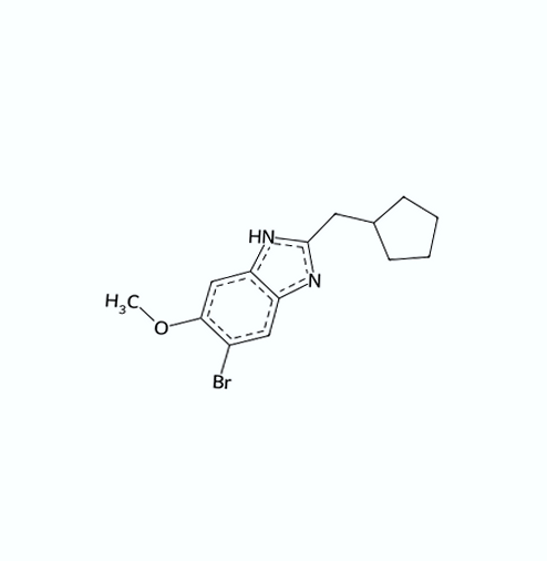 COc1cc2[nH]c(CC3CCCC3)nc2cc1Br